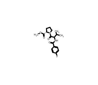 COC(=O)[C@@H]1CCCN1C(=O)C(NC(=O)c1ccc(F)cc1)C(C)C